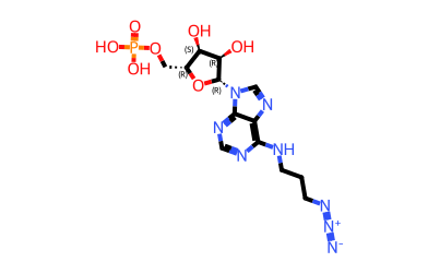 [N-]=[N+]=NCCCNc1ncnc2c1ncn2[C@@H]1O[C@H](COP(=O)(O)O)[C@@H](O)[C@H]1O